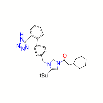 CC(C)(C)C1=CN(C(=O)CC2CCCCC2)CN1Cc1ccc(-c2ccccc2-c2nnn[nH]2)cc1